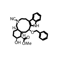 COC(=O)[C@@H]1[C@H]2C[C@H](OCc3ccccc3)c3[nH]c4ccccc4c3CCN(C#N)C[C@@H]2CC[C@@H]1O